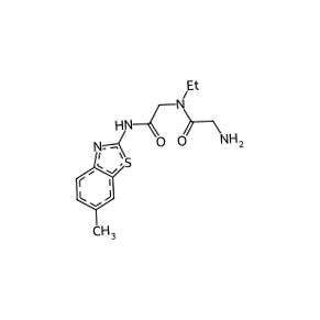 CCN(CC(=O)Nc1nc2ccc(C)cc2s1)C(=O)CN